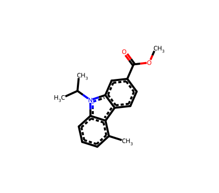 COC(=O)c1ccc2c3c(C)cccc3n(C(C)C)c2c1